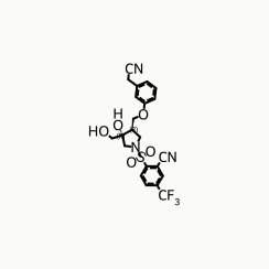 N#CCc1cccc(OC[C@H]2CN(S(=O)(=O)c3ccc(C(F)(F)F)cc3C#N)C[C@@]2(O)CO)c1